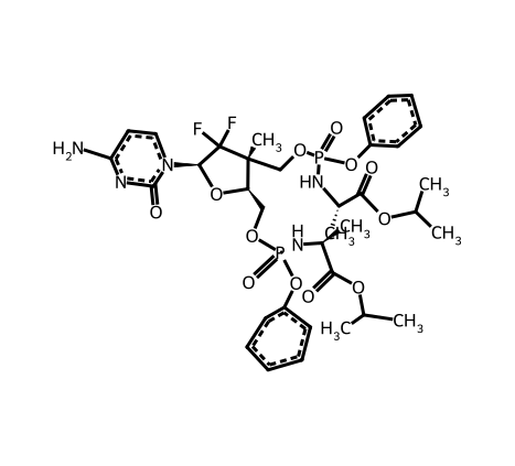 CC(C)OC(=O)[C@H](C)NP(=O)(OC[C@H]1O[C@@H](n2ccc(N)nc2=O)C(F)(F)[C@]1(C)COP(=O)(N[C@@H](C)C(=O)OC(C)C)Oc1ccccc1)Oc1ccccc1